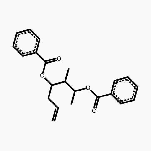 C=CCC(OC(=O)c1ccccc1)C(C)C(C)OC(=O)c1ccccc1